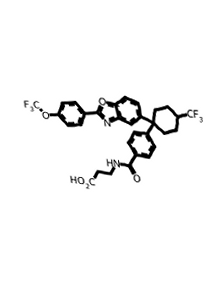 O=C(O)CCNC(=O)c1ccc(C2(c3ccc4oc(-c5ccc(OC(F)(F)F)cc5)nc4c3)CCC(C(F)(F)F)CC2)cc1